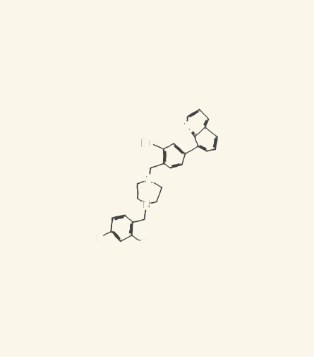 CCc1cc(-c2cccc3cccnc23)ccc1CN1CCN(Cc2ccc(F)cc2F)CC1